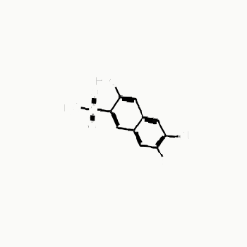 Cc1cc2cc(Cl)c(Cl)cc2cc1S(C)(=O)=O